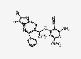 C[C@H](Nc1nc(N)nc(N)c1C#N)c1cn2nc(Br)c(Cl)c2nc1-c1ccccc1